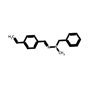 C=Cc1ccc(C=NN(C)CC2=C=C=CC=C2)cc1